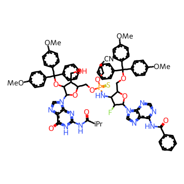 COc1ccc(C(OCC2OC(n3cnc4c(NC(=O)c5ccccc5)ncnc43)C(F)C2NP(=S)(OCCC#N)OCC2OC(n3cnc4c(=O)[nH]c(NC(=O)C(C)C)nc43)C(OC(c3ccccc3)(c3ccc(OC)cc3)c3ccc(OC)cc3)C2CO)(c2ccccc2)c2ccc(OC)cc2)cc1